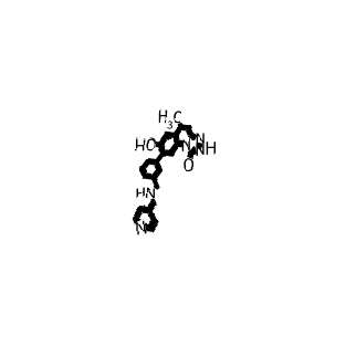 Cc1cc2n[nH]c(=O)n2c2cc(-c3cccc(CNCc4ccncc4)c3)c(O)cc12